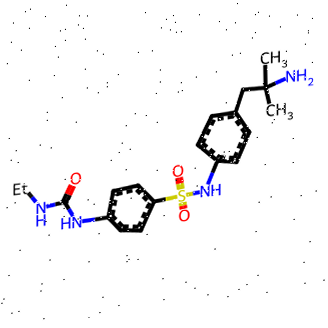 CCNC(=O)Nc1ccc(S(=O)(=O)Nc2ccc(CC(C)(C)N)cc2)cc1